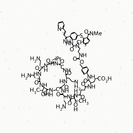 CNC(=O)c1ccccc1Sc1ccc(C(=N)/C=C/c2ccccn2)c(NC(=O)N(C)CCNC(=O)OCc2ccc(NC(=O)C(CCC(=O)O)NC(=O)CCC(=O)NC(C(=O)N[C@H](CCN)C(=O)N[C@@H]3CCNC(=O)C(C(C)O)NC(=O)[C@H](CCN)NC(=O)[C@H](CCN)NC(=O)[C@H](CC(C)C)NC(=O)CNC(=O)C(CCN)NC3=O)[C@H](C)O)cc2)c1